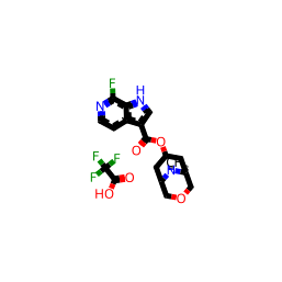 CN1C2COCC1CC(OC(=O)c1c[nH]c3c(F)nccc13)C2.O=C(O)C(F)(F)F